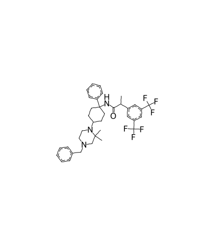 CC(C(=O)NC1(c2ccccc2)CCC(N2CCN(Cc3ccccc3)CC2(C)C)CC1)c1cc(C(F)(F)F)cc(C(F)(F)F)c1